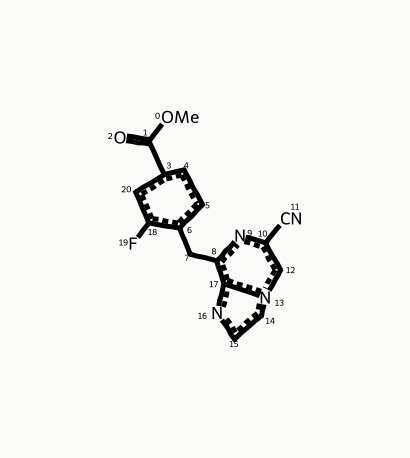 COC(=O)c1ccc(Cc2nc(C#N)cn3ccnc23)c(F)c1